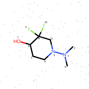 CN(C)N1CCC(O)C(F)(F)C1